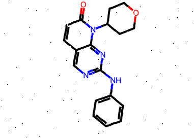 O=c1ccc2cnc(Nc3ccccc3)nc2n1C1CCOCC1